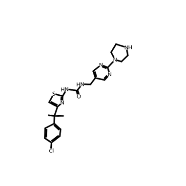 CC(C)(c1ccc(Cl)cc1)c1csc(NC(=O)NCc2cnc(N3CCNCC3)nc2)n1